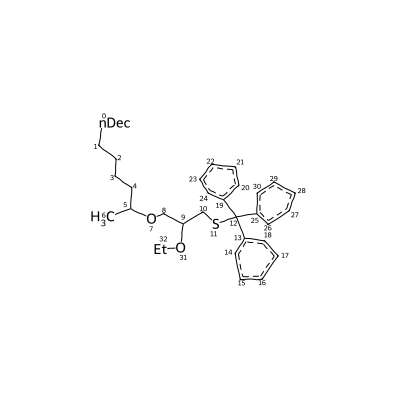 CCCCCCCCCCCCCCC(C)OCC(CSC(c1ccccc1)(c1ccccc1)c1ccccc1)OCC